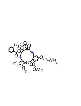 COCOc1cc(OCCCN)cc2c1C(=O)O[C@@H](C)[C@H](C)/C=C\C(OC(=O)c1ccccc1)[C@H]1OC(C)(C)O[C@H]1C/C=C/2